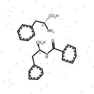 N[C@H](Cc1ccccc1)C(=O)O.O=C(N[C@@H](Cc1ccccc1)C(=O)O)c1ccccc1